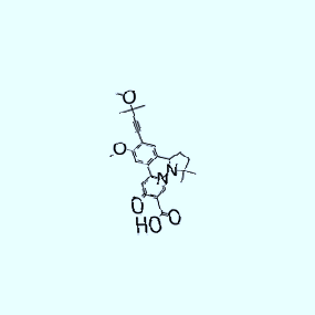 COc1cc2c(cc1C#CC(C)(C)OC)C1CCC(C)(C)N1n1cc(C(=O)O)c(=O)cc1-2